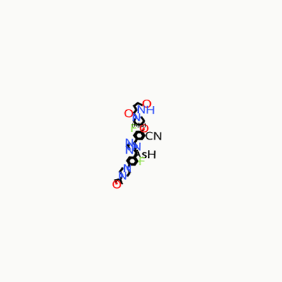 N#Cc1cc(-c2ncnc([AsH]c3ccc(N4CCN(C5COC5)CC4)cc3F)n2)ccc1O[C@H]1CCN(C(=O)C2CCC(=O)N2)C[C@H]1F